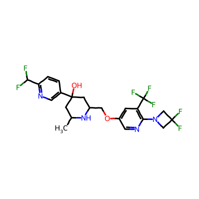 CC1CC(O)(c2ccc(C(F)F)nc2)CC(COc2cnc(N3CC(F)(F)C3)c(C(F)(F)F)c2)N1